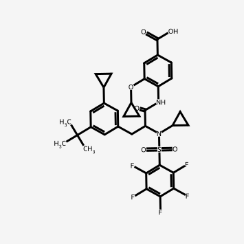 CC(C)(C)c1cc(CC(C(=O)Nc2ccc(C(=O)O)cc2OC2CC2)N(C2CC2)S(=O)(=O)c2c(F)c(F)c(F)c(F)c2F)cc(C2CC2)c1